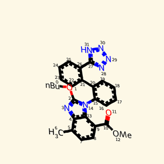 CCCCOc1nc2c(C)ccc(C(=O)OC)c2n1-c1ccccc1-c1ccccc1-c1nnn[nH]1